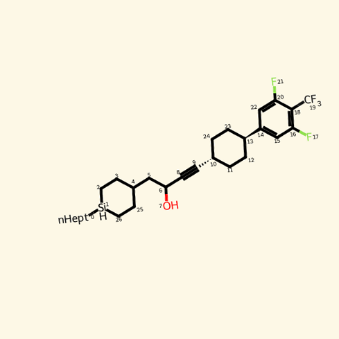 CCCCCCC[SiH]1CCC(CC(O)C#C[C@H]2CC[C@H](c3cc(F)c(C(F)(F)F)c(F)c3)CC2)CC1